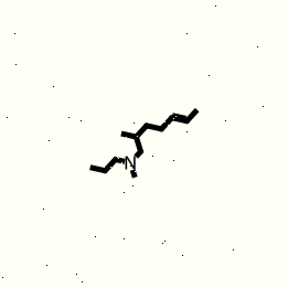 C/C=C/CCC(C)CN(C)CCC